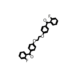 O=C(c1ccc(OCCOc2ccc(C(=O)c3ccccc3F)cc2)cc1)c1ccccc1F